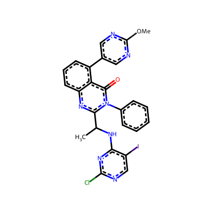 COc1ncc(-c2cccc3nc(C(C)Nc4nc(Cl)ncc4I)n(-c4ccccc4)c(=O)c23)cn1